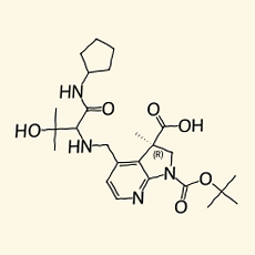 CC(C)(C)OC(=O)N1C[C@](C)(C(=O)O)c2c(CNC(C(=O)NC3CCCC3)C(C)(C)O)ccnc21